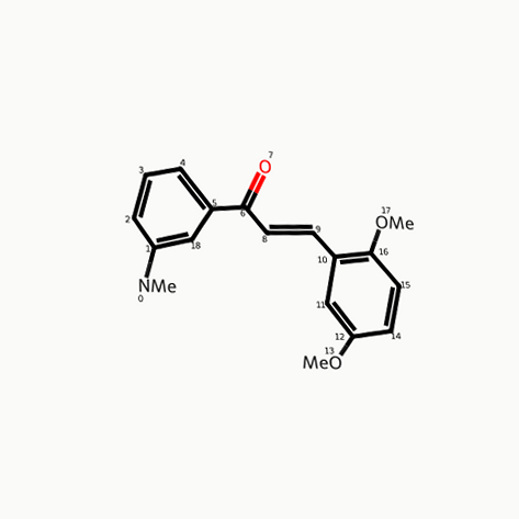 CNc1cccc(C(=O)C=Cc2cc(OC)ccc2OC)c1